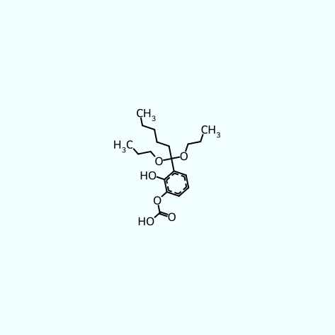 CCCCCC(OCCC)(OCCC)c1cccc(OC(=O)O)c1O